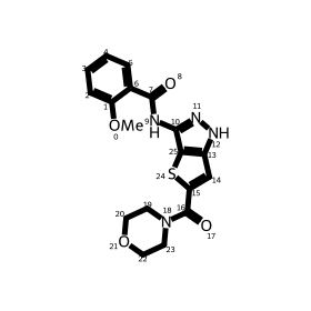 COc1ccccc1C(=O)Nc1n[nH]c2cc(C(=O)N3CCOCC3)sc12